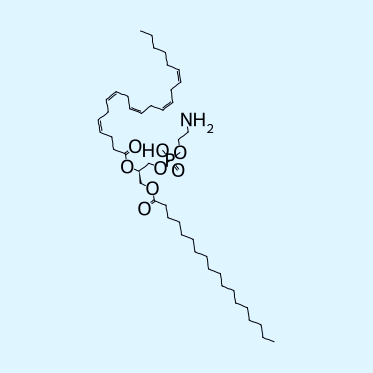 CCCCC/C=C\C/C=C\C/C=C\C/C=C\C/C=C\CCC(=O)O[C@H](COC(=O)CCCCCCCCCCCCCCCCC)COP(=O)(O)OCCN